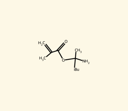 C=C(C)C(=O)OC(C)(N)C(C)CC